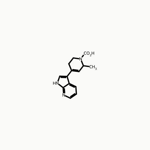 CC1C=C(c2c[nH]c3ncccc23)CCN1C(=O)O